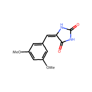 COc1cc(C=C2NC(=O)NC2=O)cc(OC)c1